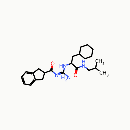 CC(C)CNC(=O)C(CC1CCCCC1)NC(N)=NC(=O)C1Cc2ccccc2C1